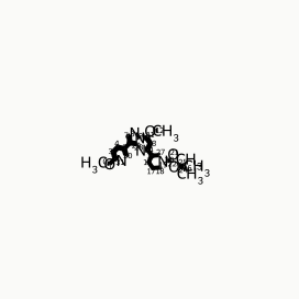 COc1ccc(-c2cnn3c(OC)cc(C4CCCN(C(=O)OC(C)(C)C)C4)nc23)cn1